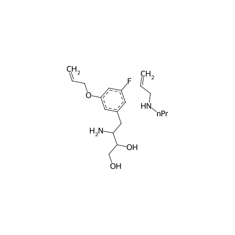 C=CCNCCC.C=CCOc1cc(F)cc(CC(N)C(O)CO)c1